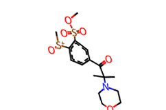 COS(=O)(=O)c1cc(C(=O)C(C)(C)N2CCOCC2)ccc1[S+](C)[O-]